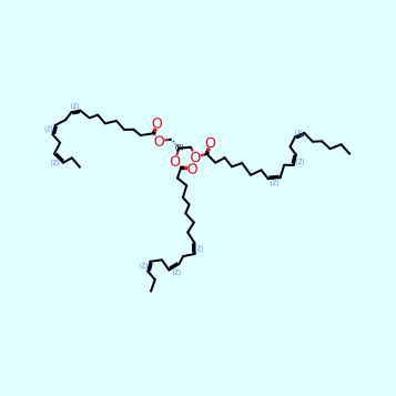 CC/C=C\C/C=C\C/C=C\CCCCCCCC(=O)OC[C@H](COC(=O)CCCCCC/C=C\C/C=C\C/C=C\CCCCC)OC(=O)CCCCCCC/C=C\C/C=C\C/C=C\CC